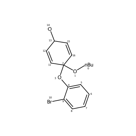 CCCCOC1(Oc2ccccc2Br)C=CC([O])C=C1